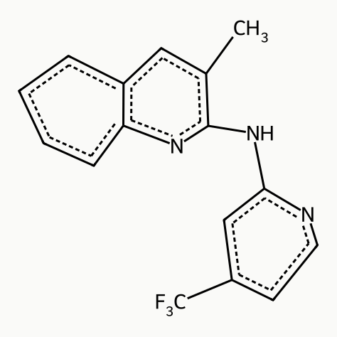 Cc1cc2ccccc2nc1Nc1cc(C(F)(F)F)ccn1